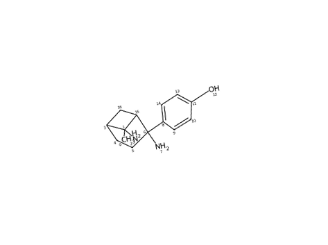 CC1(N)C2CCC(N)(c3ccc(O)cc3)C1C2